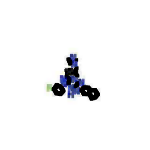 CC(C)(C)c1cc(Nc2nc3cc4ccccc4cc3nc2NCCCn2ccnc2)n(-c2cccc(F)c2)n1